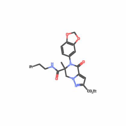 CCOC(=O)c1cc2n(n1)CC(C)(C(=O)NCCC(C)C)N(c1ccc3c(c1)OCO3)C2=O